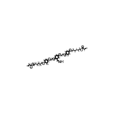 C=CC(=O)OCCCCCCOc1ccc(OCCOc2ccc(OCCOc3ccc(OCCCCCCOC(=O)C=C)cc3)c(C=N)c2)cc1